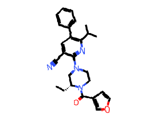 CC[C@@H]1CN(c2nc(C(C)C)c(-c3ccccc3)cc2C#N)CCN1C(=O)c1ccoc1